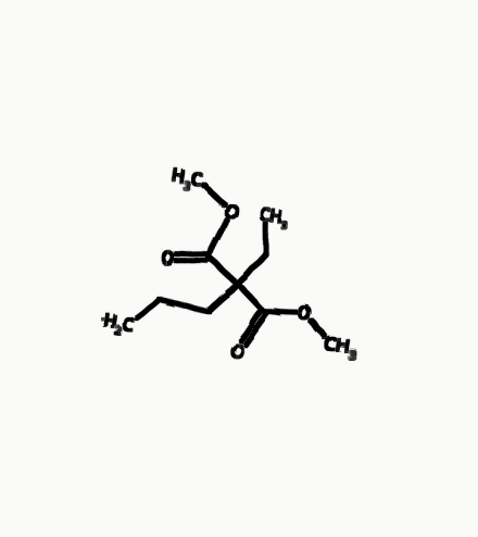 [CH2]CCC(CC)(C(=O)OC)C(=O)OC